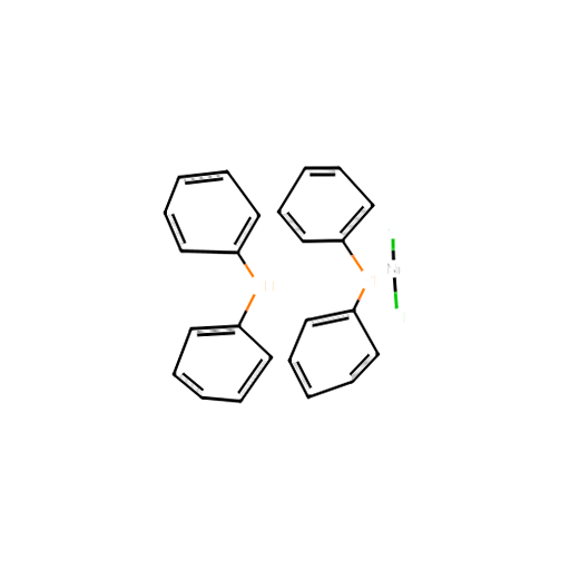 [Cl][Ni][Cl].c1ccc(Pc2ccccc2)cc1.c1ccc(Pc2ccccc2)cc1